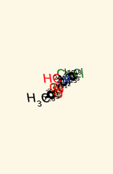 Cc1ccc(S(=O)(=O)OC[C@H]2CCN(c3ccc(Cl)cc3Cl)C[C@@H]2O)cc1